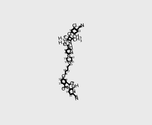 CC1(C)[C@H](NC(=O)c2ccc(N3CCN(CCCCCOc4ccc5c(c4)C(=O)N(c4ccc(C#N)nc4O)C5=O)CC3)nc2)C(C)(C)[C@H]1Oc1ccc(C#N)c(Cl)c1